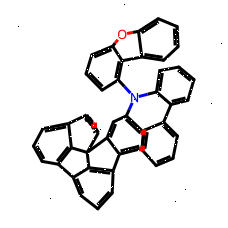 c1ccc(-c2ccccc2N(c2ccc3c(c2)C24c5ccccc5-c5cccc(c52)-c2cccc-3c24)c2cccc3oc4ccccc4c23)cc1